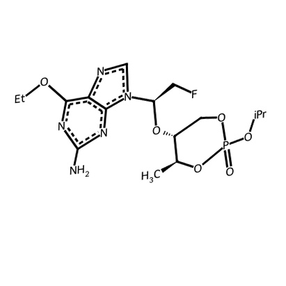 CCOc1nc(N)nc2c1ncn2[C@@H](CF)O[C@@H]1COP(=O)(OC(C)C)O[C@H]1C